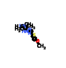 C=CCOc1ccc2cc(-c3ccnc(NC4CC(C)(C)NC(C)(C)C4)n3)sc2c1